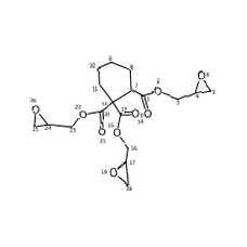 O=C(OCC1CO1)C1CCCCC1(C(=O)OCC1CO1)C(=O)OCC1CO1